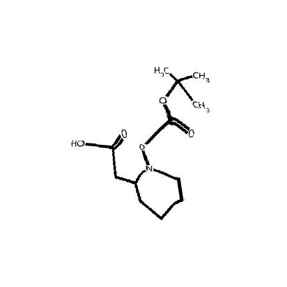 CC(C)(C)OC(=O)ON1CCCCC1CC(=O)O